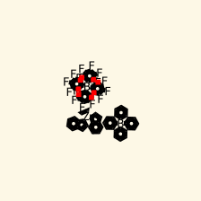 C1=C[CH]([Zr]2([CH]3C=Cc4ccccc43)[CH2][CH2]2)c2ccccc21.Fc1c(F)c(F)c([B-](c2c(F)c(F)c(F)c(F)c2F)(c2c(F)c(F)c(F)c(F)c2F)c2c(F)c(F)c(F)c(F)c2F)c(F)c1F.c1ccc([B-](c2ccccc2)(c2ccccc2)c2ccccc2)cc1